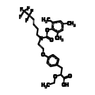 CCOC(Cc1ccc(OCCN(CCCCC(F)(F)C(F)(F)F)C(=O)Oc2c(C)cc(C)cc2C)cc1)C(=O)O